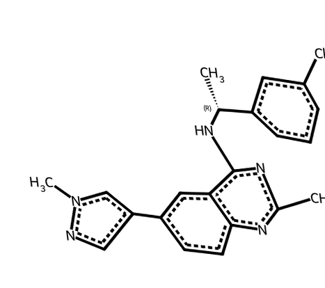 Cc1nc(N[C@H](C)c2cccc(Cl)c2)c2cc(-c3cnn(C)c3)ccc2n1